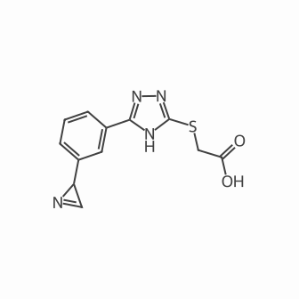 O=C(O)CSc1nnc(-c2cccc(C3C=N3)c2)[nH]1